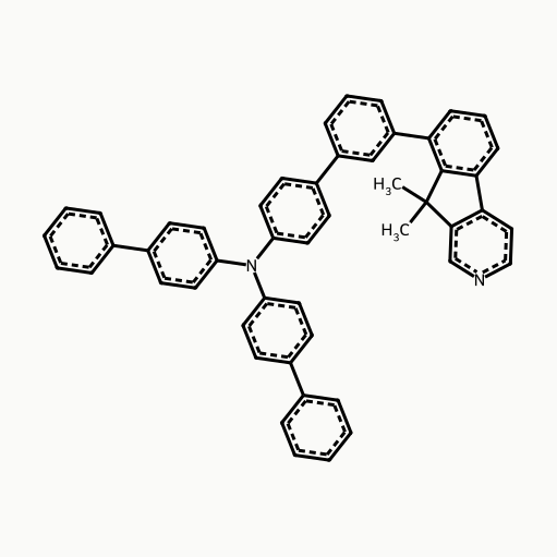 CC1(C)c2cnccc2-c2cccc(-c3cccc(-c4ccc(N(c5ccc(-c6ccccc6)cc5)c5ccc(-c6ccccc6)cc5)cc4)c3)c21